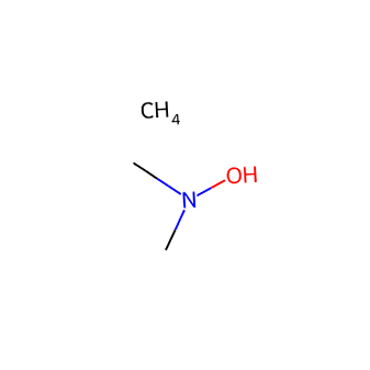 C.CN(C)O